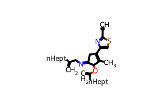 C#Cc1nc(C2=C(C)C(OC(=C)CCCCCCC)/C(=N/CC(=C)CCCCCCC)C2)cs1